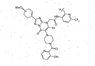 CCc1c(N2CCN(C(=O)c3ncccc3O)CC2)c(=O)n2nc(C3=CC[C@H](OC)CC3)nc2n1CC(=O)Nc1ccc(C(F)(F)F)nc1C